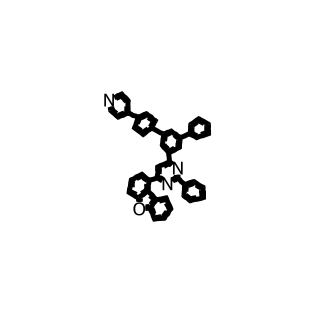 c1ccc(-c2cc(-c3ccc(-c4ccncc4)cc3)cc(-c3cc(-c4cccc5oc6ccccc6c45)nc(-c4ccccc4)n3)c2)cc1